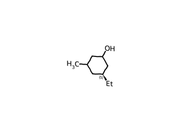 CC[C@H]1CC(C)CC(O)C1